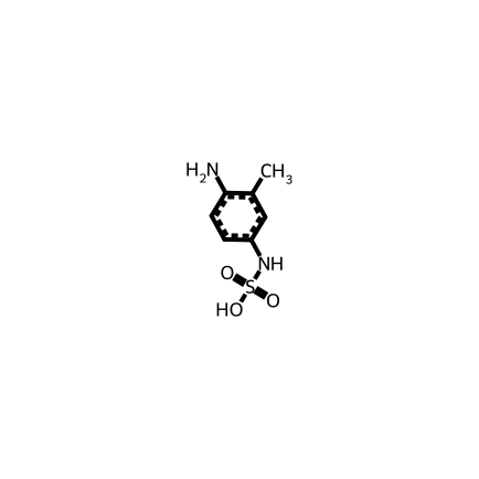 Cc1cc(NS(=O)(=O)O)ccc1N